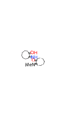 CN[C@@H]1CCCCCCC[C@H]1ON[C@@H]1CCCCCCC[C@@H]1O